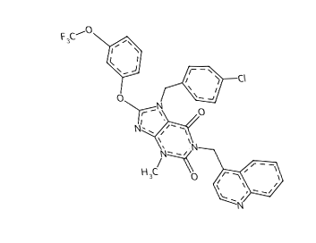 Cn1c(=O)n(Cc2ccnc3ccccc23)c(=O)c2c1nc(Oc1cccc(OC(F)(F)F)c1)n2Cc1ccc(Cl)cc1